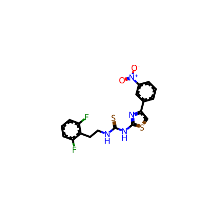 O=[N+]([O-])c1cccc(-c2csc(NC(=S)NCCc3c(F)cccc3F)n2)c1